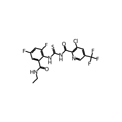 CCNC(=O)c1cc(F)cc(F)c1NC(=S)NC(=O)c1ncc(C(F)(F)F)cc1Cl